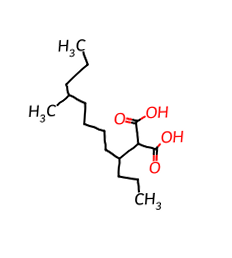 CCCC(C)CCCCC(CCC)C(C(=O)O)C(=O)O